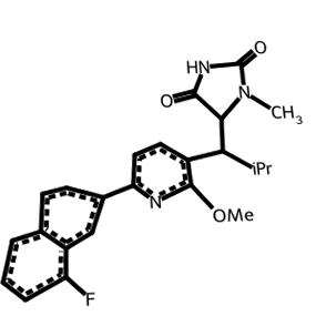 COc1nc(-c2ccc3cccc(F)c3c2)ccc1C(C(C)C)C1C(=O)NC(=O)N1C